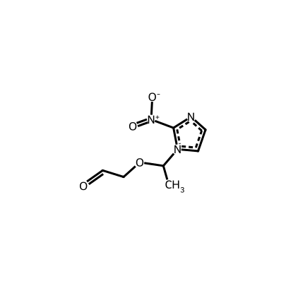 CC(OCC=O)n1ccnc1[N+](=O)[O-]